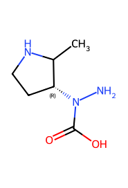 CC1NCC[C@H]1N(N)C(=O)O